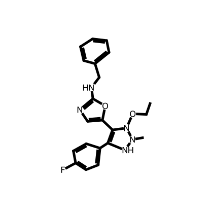 CCON1C(c2cnc(NCc3ccccc3)o2)=C(c2ccc(F)cc2)NN1C